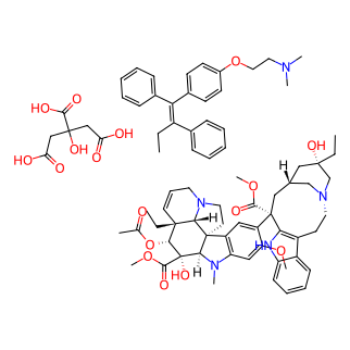 CC/C(=C(\c1ccccc1)c1ccc(OCCN(C)C)cc1)c1ccccc1.CC[C@]1(O)C[C@@H]2C[N@@](CCc3c([nH]c4ccccc34)[C@@](C(=O)OC)(c3cc4c(cc3OC)N(C)[C@H]3[C@@](O)(C(=O)OC)[C@H](OC(C)=O)[C@]5(CC)C=CCN6CC[C@]43[C@@H]65)C2)C1.O=C(O)CC(O)(CC(=O)O)C(=O)O